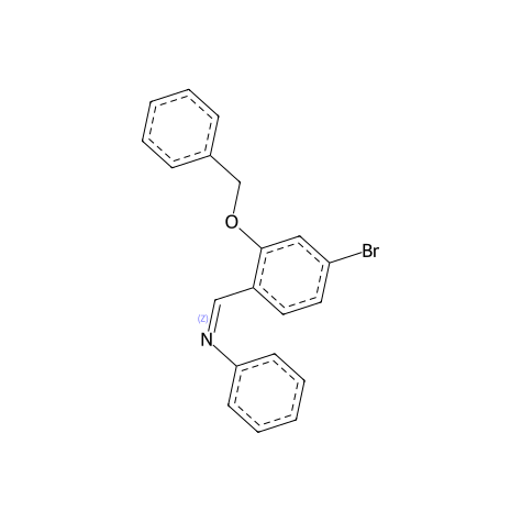 Brc1ccc(/C=N\c2ccccc2)c(OCc2ccccc2)c1